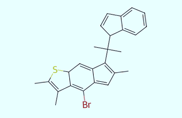 CC1=C(C(C)(C)C2C=Cc3ccccc32)C2=CC3SC(C)=C(C)C3=C(Br)C2=C1